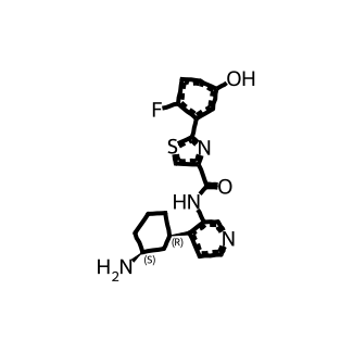 N[C@H]1CCC[C@@H](c2ccncc2NC(=O)c2csc(-c3cc(O)ccc3F)n2)C1